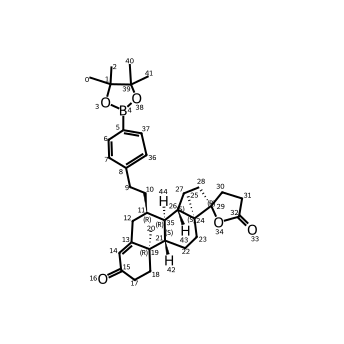 CC1(C)OB(c2ccc(CC[C@@H]3CC4=CC(=O)CC[C@]4(C)[C@H]4CC[C@@]5(C)[C@@H](CC[C@@]56CCC(=O)O6)[C@H]34)cc2)OC1(C)C